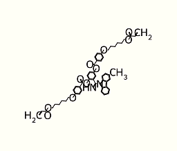 C=CC(=O)OCCCCCCOc1ccc(C(=O)Oc2ccc(OC(=O)c3ccc(OCCCCCCOC(=O)C=C)cc3)c(C(=N)n3c4ccccc4c4cc(C)ccc43)c2)cc1